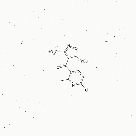 CCCCc1onc(C(=O)O)c1C(=O)c1ccc(Cl)nc1C